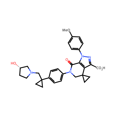 COc1ccc(-n2nc(C(=O)O)c3c2C(=O)N(c2ccc(C4(CN5CC[C@H](O)C5)CC4)cc2)CC32CC2)cc1